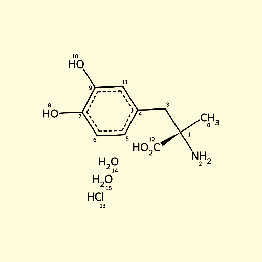 C[C@](N)(Cc1ccc(O)c(O)c1)C(=O)O.Cl.O.O